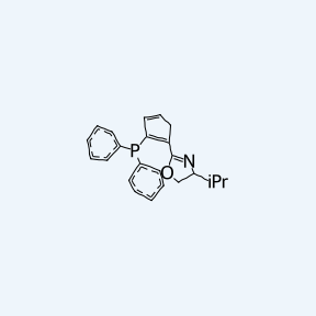 CC(C)C1COC(C2=C(P(c3ccccc3)c3ccccc3)C=CC2)=N1